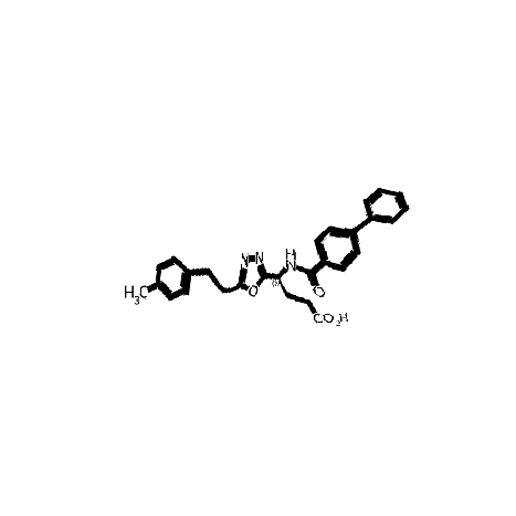 Cc1ccc(CCc2nnc([C@H](CCC(=O)O)NC(=O)c3ccc(-c4ccccc4)cc3)o2)cc1